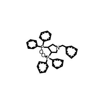 O=P(c1ccccc1)(c1ccccc1)C1CN(Cc2ccccc2)CC1P(=O)(c1ccccc1)c1ccccc1